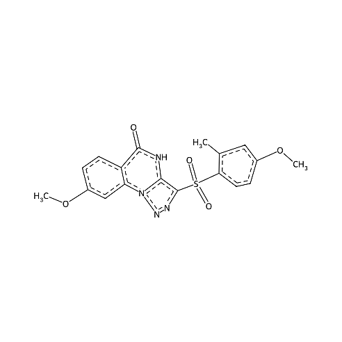 COc1ccc(S(=O)(=O)c2nnn3c2[nH]c(=O)c2ccc(OC)cc23)c(C)c1